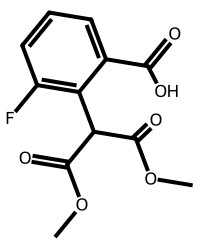 COC(=O)C(C(=O)OC)c1c(F)cccc1C(=O)O